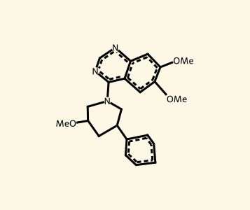 COc1cc2ncnc(N3CC(OC)CC(c4ccccc4)C3)c2cc1OC